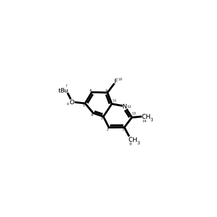 Cc1cc2cc(OC(C)(C)C)cc(F)c2nc1C